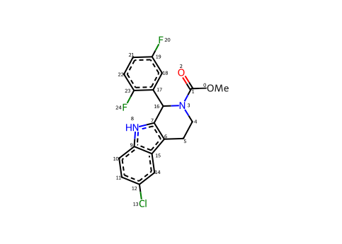 COC(=O)N1CCc2c([nH]c3ccc(Cl)cc23)C1c1cc(F)ccc1F